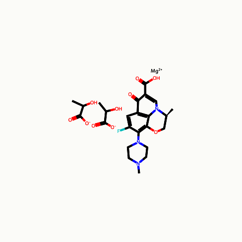 CC(O)C(=O)[O-].CC(O)C(=O)[O-].C[C@H]1COc2c(N3CCN(C)CC3)c(F)cc3c(=O)c(C(=O)O)cn1c23.[Mg+2]